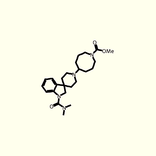 COC(=O)N1CCCC(N2CCC3(CC2)CN(C(=O)N(C)C)c2ccccc23)CCC1